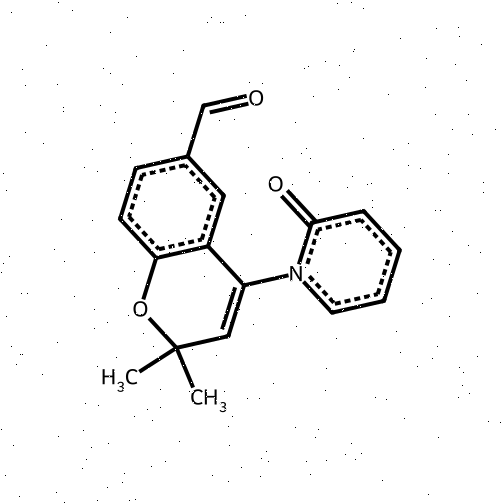 CC1(C)C=C(n2ccccc2=O)c2cc(C=O)ccc2O1